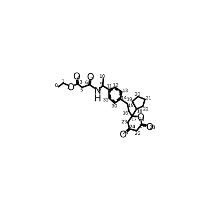 CCOC(=O)CC(=O)NC(C)c1ccc(CCC2(C3CCCC3)CC(=O)CC(=O)O2)cc1